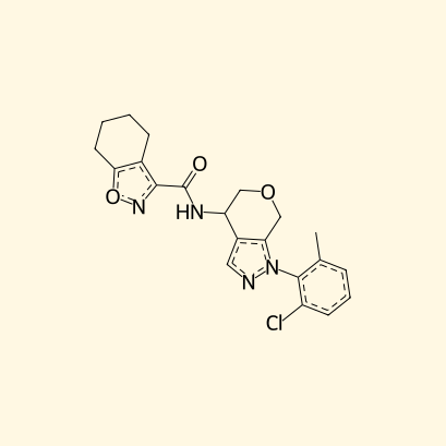 Cc1cccc(Cl)c1-n1ncc2c1COCC2NC(=O)c1noc2c1CCCC2